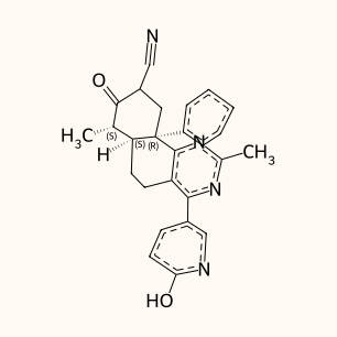 Cc1nc(-c2ccc(O)nc2)c2c(n1)[C@]1(c3ccccc3)CC(C#N)C(=O)[C@@H](C)[C@@H]1CC2